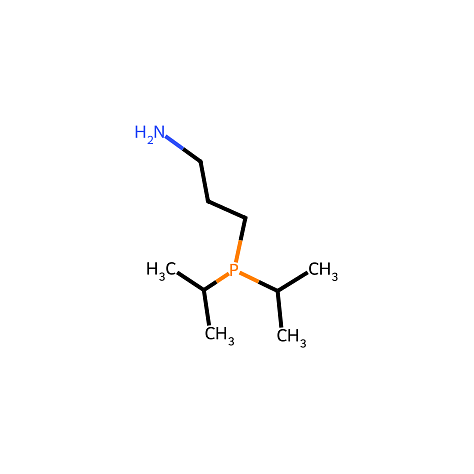 CC(C)P(CCCN)C(C)C